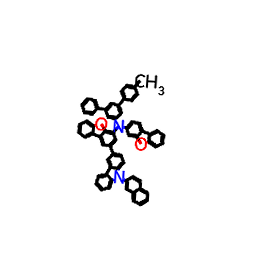 Cc1ccc(-c2cc(-c3ccccc3)cc(N(c3ccc4c(c3)oc3ccccc34)c3cc(-c4ccc5c(c4)c4ccccc4n5-c4ccc5ccccc5c4)cc4c3oc3ccccc34)c2)cc1